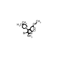 CCOC(=O)Cc1c(Cl)nc(N)c(Br)c1N1CCC(C)(C)CC1